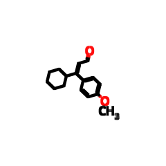 COc1ccc(/C(=C\C=O)C2CCCCC2)cc1